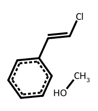 CO.ClC=Cc1ccccc1